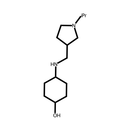 CC(C)N1CCC(CNC2CCC(O)CC2)C1